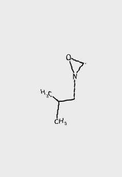 CC(C)CN1[CH]O1